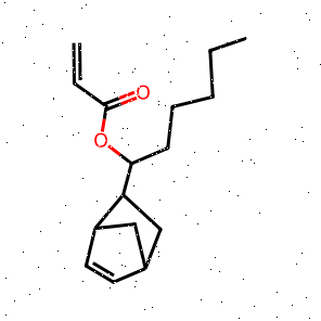 C=CC(=O)OC(CCCCC)C1CC2C=CC1C2